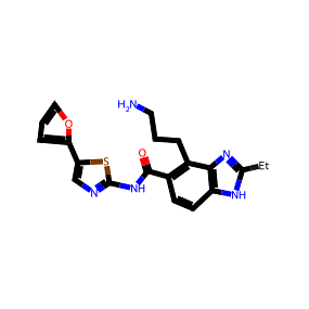 CCc1nc2c(CCCN)c(C(=O)Nc3ncc(-c4ccco4)s3)ccc2[nH]1